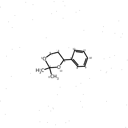 CC1(C)OC[CH]C(c2ccccc2)O1